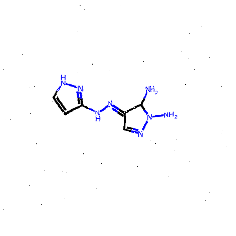 NC1C(=NNc2cc[nH]n2)C=NN1N